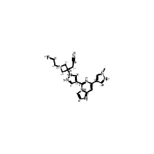 Cn1cc(-c2cc3nccn3c(-c3cnn(C4(CC#N)CN(CCF)C4)c3)n2)cn1